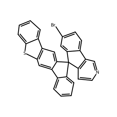 Brc1ccc2c(c1)C1(c3ccccc3-c3cc4sc5ccccc5c4cc31)c1ccncc1-2